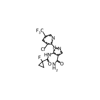 NC(=O)c1cnn(-c2ncc(C(F)(F)F)cc2Cl)c1NC(=O)C1(F)CC1